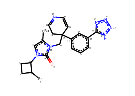 CCCCc1cn(C2CCC2CC)c(=O)n1CC1(c2cccc(-c3nnn[nH]3)c2)C=CN=CC1